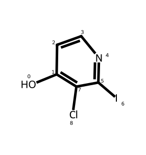 Oc1ccnc(I)c1Cl